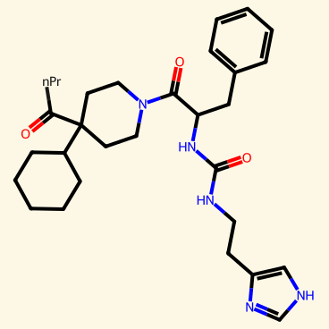 CCCC(=O)C1(C2CCCCC2)CCN(C(=O)C(Cc2ccccc2)NC(=O)NCCc2c[nH]cn2)CC1